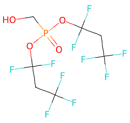 O=P(CO)(OC(F)(F)CC(F)(F)F)OC(F)(F)CC(F)(F)F